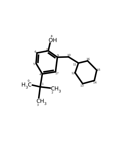 CC(C)(C)c1ccc(O)c(CC2CCCCC2)c1